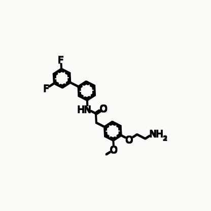 COc1cc(CC(=O)Nc2cccc(-c3cc(F)cc(F)c3)c2)ccc1OCCN